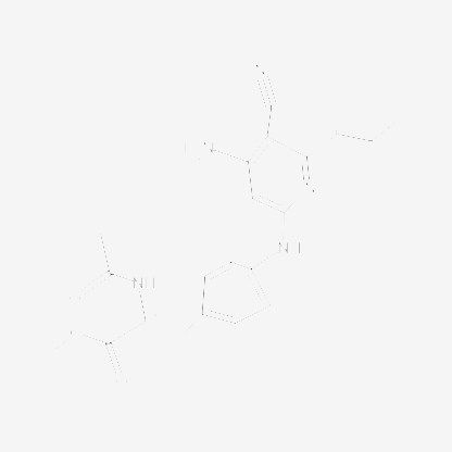 CCOc1nc(Nc2ccc(C[C@@H](NC(C)=O)C(=O)OC)cc2)cc(N)c1C#N